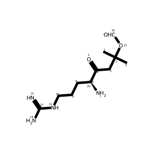 CC(C)(CC(=O)[C@@H](N)CCCNC(=N)N)O[C]=O